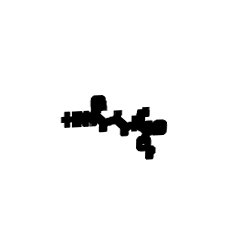 COC(=O)N(C)CCCC([NH])=O